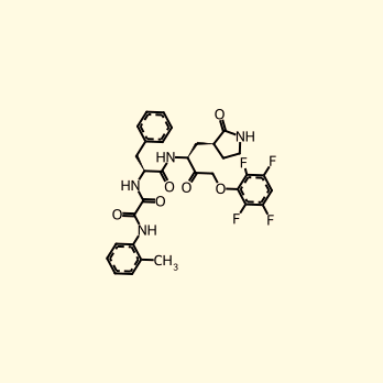 Cc1ccccc1NC(=O)C(=O)N[C@@H](Cc1ccccc1)C(=O)N[C@@H](C[C@@H]1CCNC1=O)C(=O)COc1c(F)c(F)cc(F)c1F